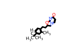 Cc1cc(C(C)(C)C)ccc1CCC1Cn2ccc(=O)nc2O1